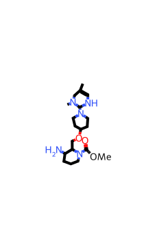 COC(=O)N1CCCC(N)C1COC1CCN(C2NC=C(C)CN2C)CC1